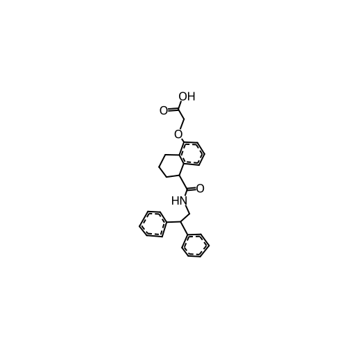 O=C(O)COc1cccc2c1CCCC2C(=O)NCC(c1ccccc1)c1ccccc1